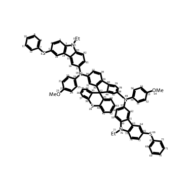 CCn1c2ccc(Sc3ccccc3)cc2c2cc(N(c3ccc(OC)cc3)c3ccc4c(c3)C3(c5ccccc5Sc5ccccc53)c3cc(N(c5ccc(OC)cc5)c5ccc6c(c5)c5cc(Sc7ccccc7)ccc5n6CC)ccc3-4)ccc21